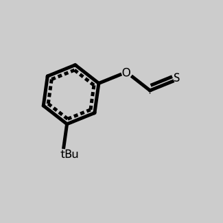 CC(C)(C)c1cccc(O[C]=S)c1